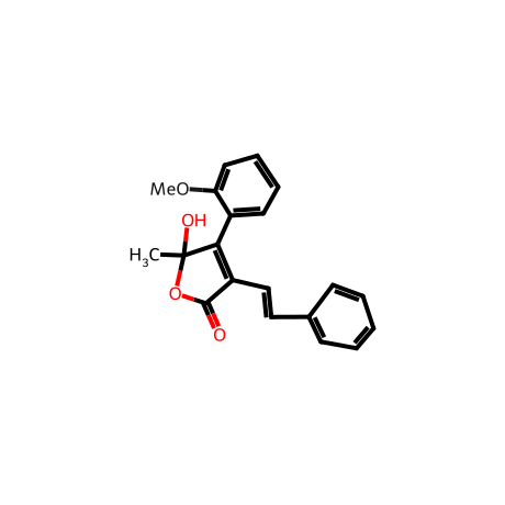 COc1ccccc1C1=C(C=Cc2ccccc2)C(=O)OC1(C)O